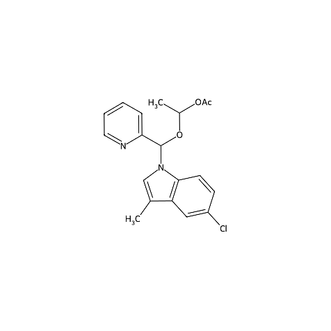 CC(=O)OC(C)OC(c1ccccn1)n1cc(C)c2cc(Cl)ccc21